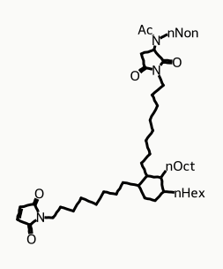 CCCCCCCCCN(C(C)=O)C1CC(=O)N(CCCCCCCCC2C(CCCCCCCCN3C(=O)C=CC3=O)CCC(CCCCCC)C2CCCCCCCC)C1=O